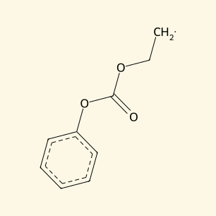 [CH2]COC(=O)Oc1ccccc1